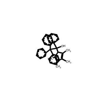 CC1=C(C)C(C(O)(c2ccccc2)C(c2ccccc2)(c2ccccc2)c2ccccc2)C(C)=C1C